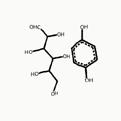 O=CC(O)C(O)C(O)C(O)CO.Oc1ccc(O)cc1